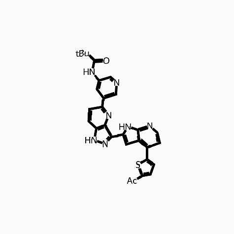 CC(=O)c1ccc(-c2ccnc3[nH]c(-c4n[nH]c5ccc(-c6cncc(NC(=O)C(C)(C)C)c6)nc45)cc23)s1